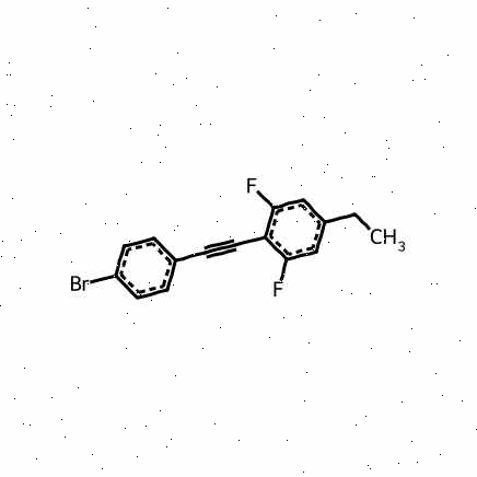 CCc1cc(F)c(C#Cc2ccc(Br)cc2)c(F)c1